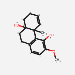 COc1ccc2c(c1O)C1(C)C=CCCC1(O)CC2